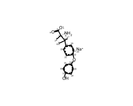 N[C@](I)(C(=O)[O-])C(I)(I)c1ccc(Oc2ccc(O)cc2)cc1.[Na+]